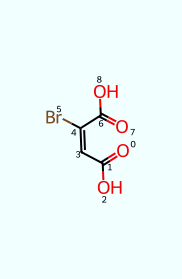 O=C(O)/C=C(/Br)C(=O)O